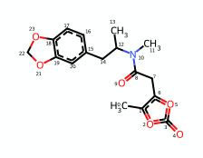 Cc1oc(=O)oc1CC(=O)N(C)C(C)Cc1ccc2c(c1)OCO2